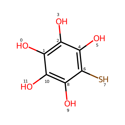 Oc1c(O)c(O)c(S)c(O)c1O